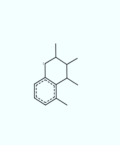 Cc1cccc2c1C(C)C(C)C(C)[C]2